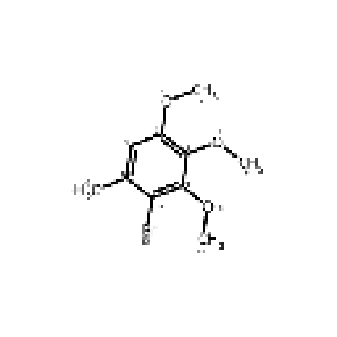 [CH2]c1cc(OC)c(OC)c(OC)c1Br